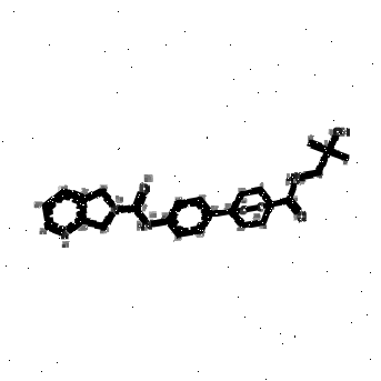 CC(C)(O)CNC(=O)C12CCC(c3ccc(NC(=O)N4Cc5cccnc5C4)cc3)(CC1)CC2